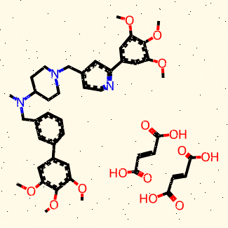 COc1cc(-c2cccc(CN(C)C3CCN(Cc4ccnc(-c5cc(OC)c(OC)c(OC)c5)c4)CC3)c2)cc(OC)c1OC.O=C(O)/C=C/C(=O)O.O=C(O)/C=C/C(=O)O